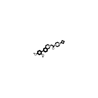 COc1ccc(-c2ccc3c(c2)CCN(CC(=O)N2CCN(C4CCC4)CC2)C3)c(OC)c1